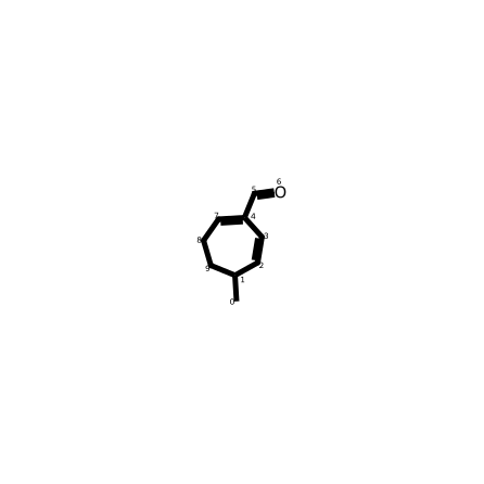 CC1C=CC(C=O)=CCC1